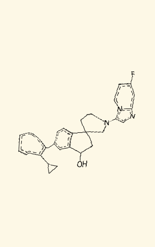 OC1CC2(CCN(c3cnc4cc(F)ccn34)C2)c2ccc(-c3ccccc3C3CC3)cc21